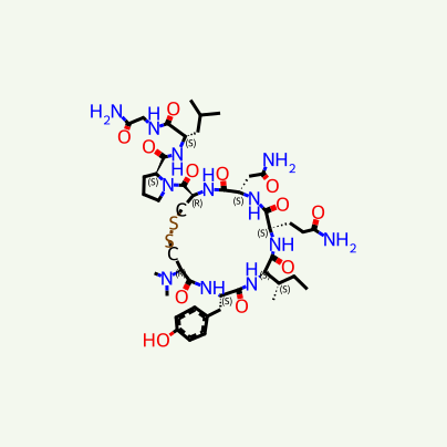 CC[C@H](C)[C@@H]1NC(=O)[C@H](Cc2ccc(O)cc2)NC(=O)[C@@H](N(C)C)CSSC[C@@H](C(=O)N2CCC[C@H]2C(=O)N[C@@H](CC(C)C)C(=O)NCC(N)=O)NC(=O)[C@H](CC(N)=O)NC(=O)[C@H](CCC(N)=O)NC1=O